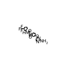 Nc1nccc(Oc2ccc3c(c2)OCN3C(=O)Nc2cccc(C(F)(F)F)c2)n1